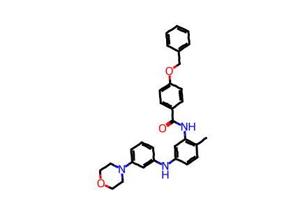 Cc1ccc(Nc2cccc(N3CCOCC3)c2)cc1NC(=O)c1ccc(OCc2ccccc2)cc1